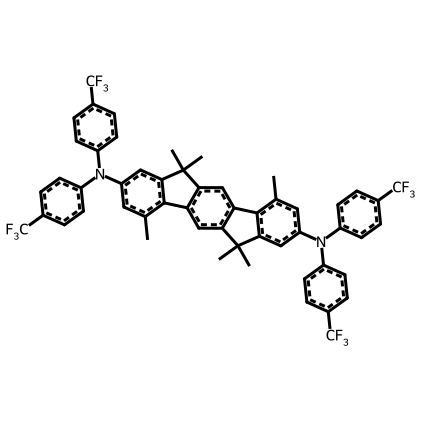 Cc1cc(N(c2ccc(C(F)(F)F)cc2)c2ccc(C(F)(F)F)cc2)cc2c1-c1cc3c(cc1C2(C)C)-c1c(C)cc(N(c2ccc(C(F)(F)F)cc2)c2ccc(C(F)(F)F)cc2)cc1C3(C)C